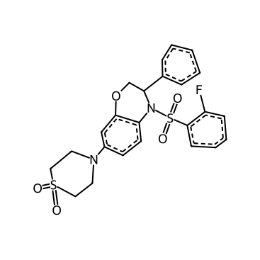 O=S1(=O)CCN(c2ccc3c(c2)OCC(c2ccccc2)N3S(=O)(=O)c2ccccc2F)CC1